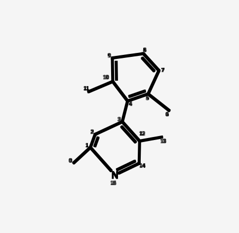 Cc1cc(-c2c(C)cccc2C)c(C)cn1